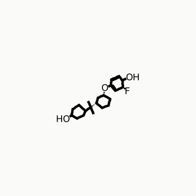 CC(C)(C1CCC(O)CC1)[C@H]1CCC[C@@H](OC2=C[C@H](F)C(O)C=C2)C1